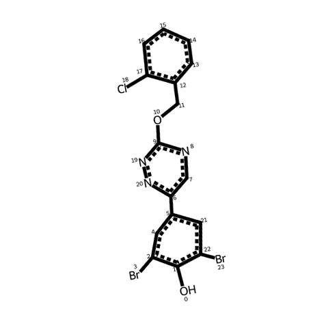 Oc1c(Br)cc(-c2cnc(OCc3ccccc3Cl)nn2)cc1Br